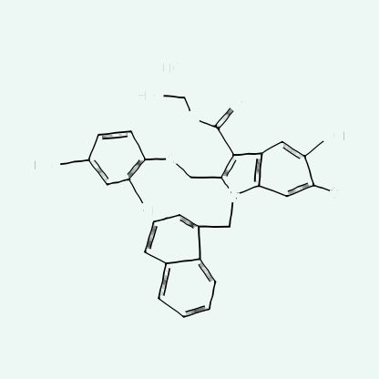 CCOC(=O)c1c(CSc2ccc(C)cc2C)n(Cc2cccc3ccccc23)c2cc(Br)c(O)cc12.Cl